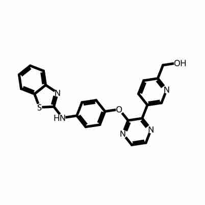 OCc1ccc(-c2nccnc2Oc2ccc(Nc3nc4ccccc4s3)cc2)cn1